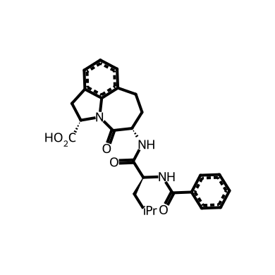 CC(C)C[C@H](NC(=O)c1ccccc1)C(=O)N[C@H]1CCc2cccc3c2N(C1=O)[C@H](C(=O)O)C3